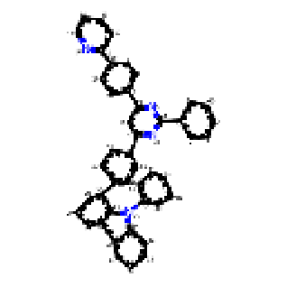 c1ccc(-c2nc(-c3ccc(-c4ccccn4)cc3)cc(-c3ccc(-c4cccc5c6ccccc6n(-c6ccccc6)c45)cc3)n2)cc1